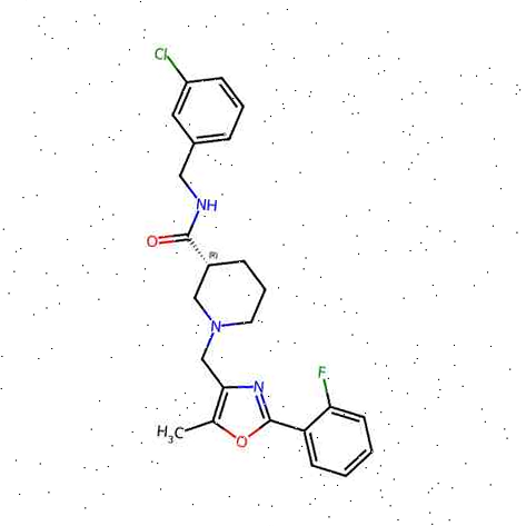 Cc1oc(-c2ccccc2F)nc1CN1CCC[C@@H](C(=O)NCc2cccc(Cl)c2)C1